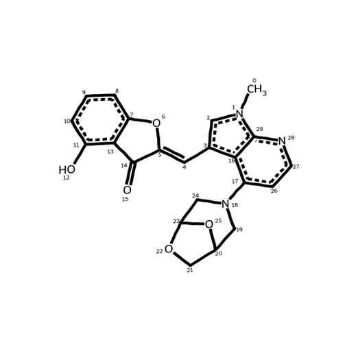 Cn1cc(/C=C2\Oc3cccc(O)c3C2=O)c2c(N3CC4COC(C3)O4)ccnc21